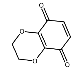 O=C1C=CC(=O)C2=C1OCCO2